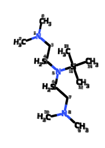 CN(C)C[SiH2]N([SiH2]CN(C)C)[Si](C)(C)C